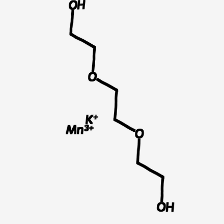 OCCOCCOCCO.[K+].[Mn+3]